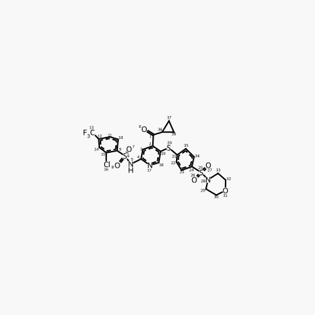 O=C(c1cc(NS(=O)(=O)c2ccc(C(F)(F)F)cc2Cl)ncc1Sc1ccc(S(=O)(=O)N2CCOCC2)cc1)C1CC1